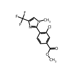 COC(=O)c1ccc(-c2nc(C(F)(F)F)cn2C)c(Cl)c1